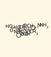 CC(=O)[C@@](C(=O)O)(N1C(=O)N(C)[C@](C)(c2ccc(C=NN)cc2)C1=O)N(C(=O)[C@@H](N)CC(=O)O)c1ccccc1